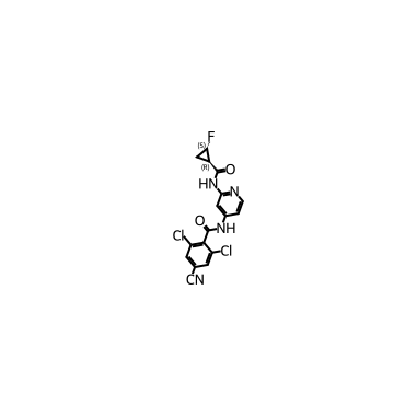 N#Cc1cc(Cl)c(C(=O)Nc2ccnc(NC(=O)[C@H]3C[C@@H]3F)c2)c(Cl)c1